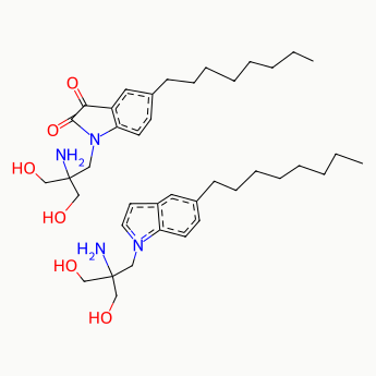 CCCCCCCCc1ccc2c(c1)C(=O)C(=O)N2CC(N)(CO)CO.CCCCCCCCc1ccc2c(ccn2CC(N)(CO)CO)c1